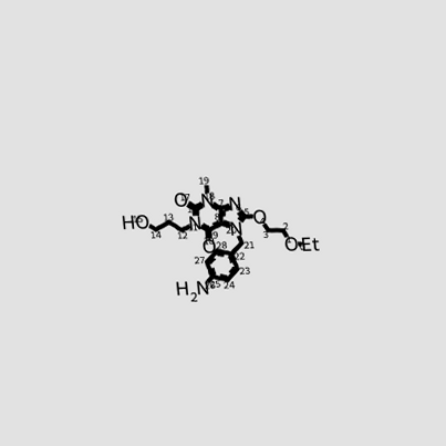 CCOCCOc1nc2c(c(=O)n(CCCO)c(=O)n2C)n1Cc1ccc(N)cc1